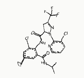 CC(C)NC(=O)c1cc(Cl)cc(Cl)c1NC(=O)C1CC(C(F)(F)F)=NN1c1ncccc1Cl